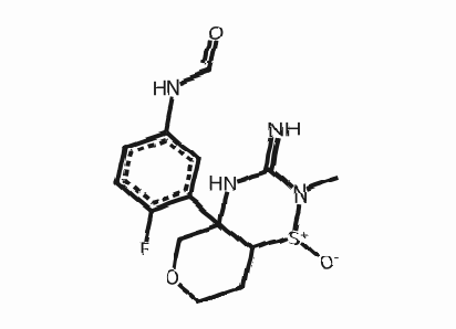 CN1C(=N)NC2(c3cc(NC=O)ccc3F)COCCC2[S+]1[O-]